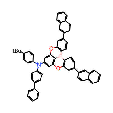 CC(C)(C)c1ccc(N(c2ccc(-c3ccccc3)cc2)c2cc3c4c(c2)Oc2cc(-c5ccc6ccccc6c5)ccc2B4c2ccc(-c4ccc5ccccc5c4)cc2O3)cc1